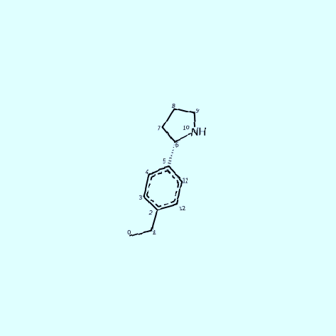 CCc1ccc([C@@H]2CCCN2)cc1